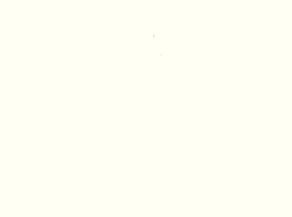 c1ccc2c(c1)-c1ccccc1C21c2cc(-c3ccc4ccc5c(-c6ccc7ccccc7c6)ccc6ccc3c4c65)ccc2-c2c1ccc1c2sc2ccccc21